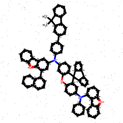 CC1(C)c2ccccc2-c2ccc(-c3ccc(N(c4ccc5c(c4)Oc4ccc(N(c6ccccc6)c6cccc7oc8ccccc8c67)cc4C54c5ccccc5-c5ccccc54)c4cc(-c5cccc6ccccc56)c5oc6ccccc6c5c4)cc3)cc21